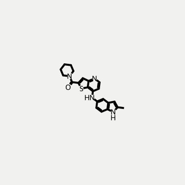 Cc1cc2cc(Nc3ccnc4cc(C(=O)N5CCCCC5)sc34)ccc2[nH]1